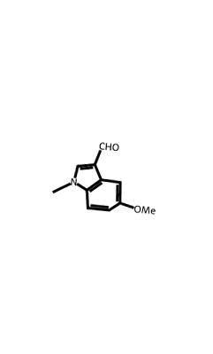 COc1ccc2c(c1)c(C=O)cn2C